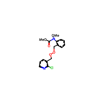 COC(=O)N(OC)c1ccccc1COOCc1cccnc1Cl